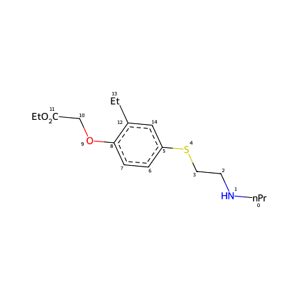 CCCNCCSc1ccc(OCC(=O)OCC)c(CC)c1